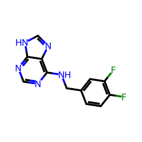 Fc1ccc(CNc2ncnc3[nH]cnc23)cc1F